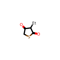 CCC1C(=O)CSC1=O